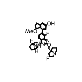 COC1CCc2cc(O)cc(-c3ccc4c(N5C[C@H]6CC[C@@H](C5)N6)nc(OC[C@@]56CCCN5C[C@H](F)C6)nc4c3F)c21